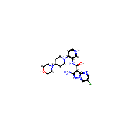 Nc1nn2cc(Cl)cnc2c1C(=O)Nc1cnccc1N1CCC(N2CCOCC2)CC1